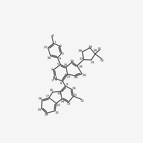 Cc1ccc(-c2cnc(-c3cc(C)cc4c3Cc3ccccc3-4)c3ccc(C4CCC(C)(C)C4)cc23)cc1